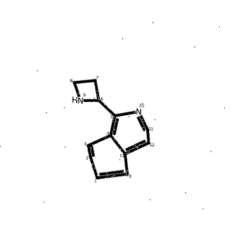 [c]1cccc2c(C3CCN3)nccc12